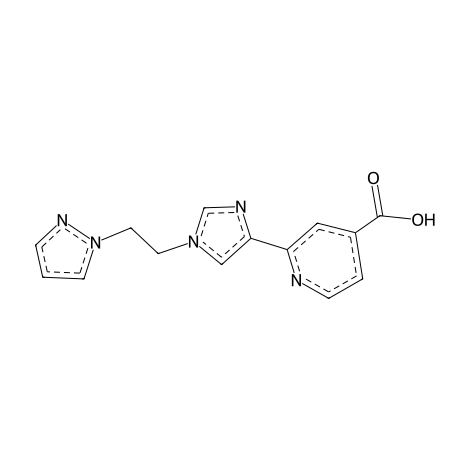 O=C(O)c1ccnc(-c2cn(CCn3cccn3)cn2)c1